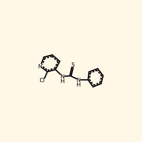 S=C(Nc1ccccc1)Nc1cccnc1Cl